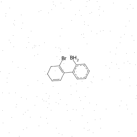 Bc1ccccc1C1=C(Br)CCC=C1